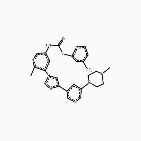 Cc1ncc(NC(=O)Oc2cc(C(F)(F)F)ccn2)cc1-n1cc(-c2cncc(N3CCN(C)CC3)c2)nn1